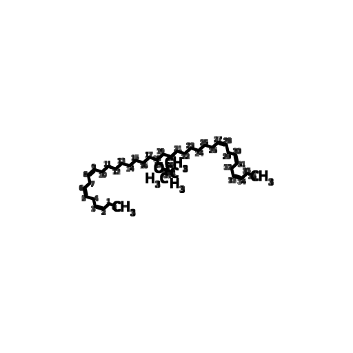 CC/C=C\C/C=C\C/C=C\CCCCCCCCC(CCCCCCCC/C=C\C/C=C\C/C=C\CC)OC(C)(C)C